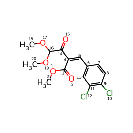 COC(=O)/C(=C\c1ccc(Cl)c(Cl)c1)C(=O)C(OC)OC